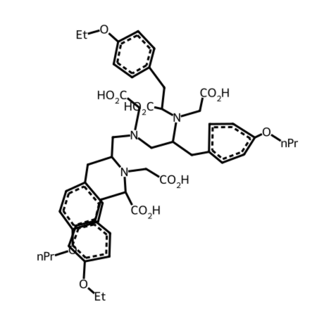 CCCOc1ccc(CC(CN(CC(=O)O)CC(Cc2ccc(OCCC)cc2)N(CC(=O)O)C(Cc2ccc(OCC)cc2)C(=O)O)N(CC(=O)O)C(Cc2ccc(OCC)cc2)C(=O)O)cc1